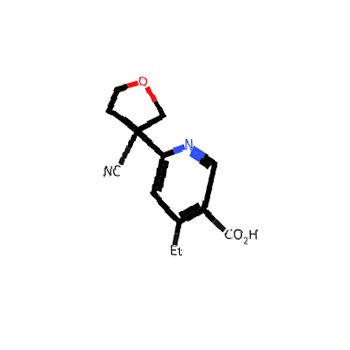 CCc1cc(C2(C#N)CCOC2)ncc1C(=O)O